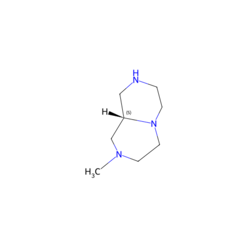 CN1CCN2CCNC[C@H]2C1